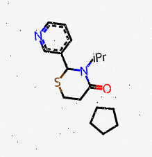 C1CCCC1.CC(C)N1C(=O)CCSC1c1cccnc1